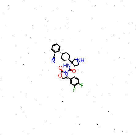 N#Cc1ccccc1[C@H]1CC[C@@H]([C@]2(NC(=O)N3C(=O)OC[C@@H]3c3ccc(F)c(F)c3)CCNC2)CC1